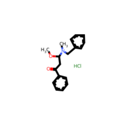 COC(CC(=O)c1ccccc1)N(C)Cc1ccccc1.Cl